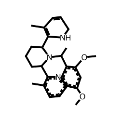 COc1ccc(C(C)N2C(C3=C(C)C=CCN3)CCCC2c2ncccc2C)c(OC)c1